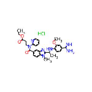 CCOC(=O)CCN(C(=O)c1ccc2c(c1)nc(C(C)Nc1ccc(C(=N)N)cc1OC)n2C)c1ccccn1.Cl